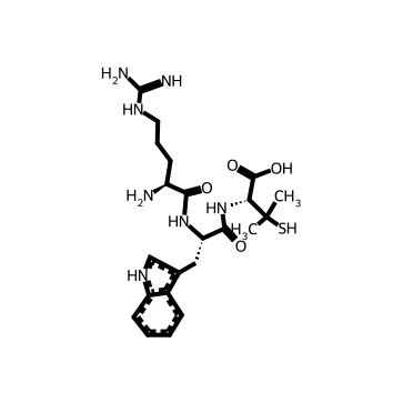 CC(C)(S)[C@H](NC(=O)[C@H](Cc1c[nH]c2ccccc12)NC(=O)[C@@H](N)CCCNC(=N)N)C(=O)O